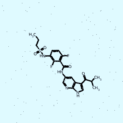 CCCS(=O)(=O)Nc1ccc(F)c(C(=O)Nc2cnc3[nH]cc(C(=O)C(C)C)c3c2)c1F